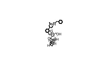 C=C/C(=C\C(=C)NCCCc1ccccc1)c1cccc(CN2O[C@@H](CO)[C@H]([C@H](C)O)[C@H]2C(=O)N[C@H]2C[C@H]3C[C@@H]([C@@H]2C)C3(C)C)c1OC